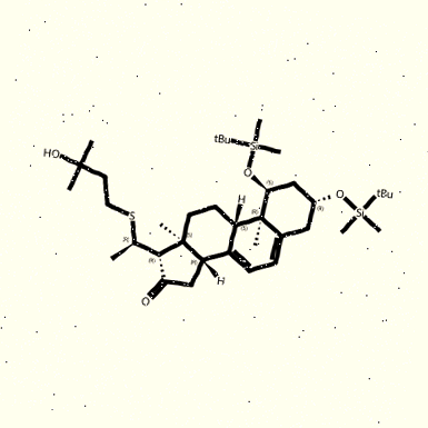 C[C@@H](SCCC(C)(C)O)[C@H]1C(=O)C[C@H]2C3=CC=C4C[C@@H](O[Si](C)(C)C(C)(C)C)C[C@H](O[Si](C)(C)C(C)(C)C)[C@]4(C)[C@H]3CC[C@]12C